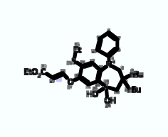 CCCCC1(CCCC)CN(c2ccccc2)c2cc(SCC)c(O/C=C/C(=O)OCC)cc2S(O)(O)C1